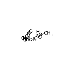 CCCCOC(=O)NC1CCN(Cc2ccc(Nc3nc(N4CCOCC4)ccc3[N+](=O)[O-])cc2)CC1